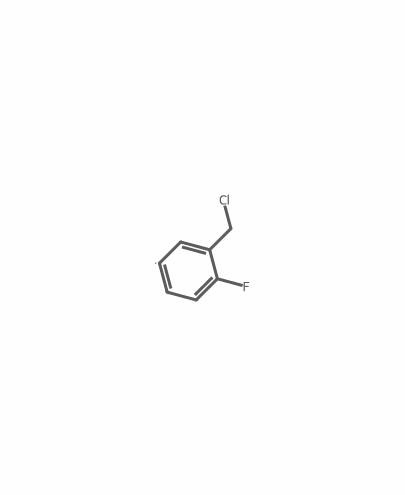 Fc1cc[c]cc1CCl